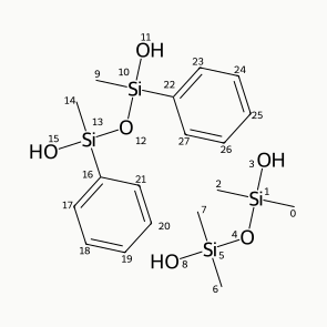 C[Si](C)(O)O[Si](C)(C)O.C[Si](O)(O[Si](C)(O)c1ccccc1)c1ccccc1